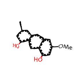 COc1cc(O)c2cc3c(O)cc(C)cc3cc2c1